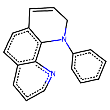 C1=Cc2ccc3cccnc3c2N(c2ccccc2)C1